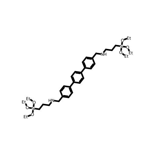 CCO[Si](CCCNCc1ccc(-c2ccc(-c3ccc(CNCCC[Si](OCC)(OCC)OCC)cc3)cc2)cc1)(OCC)OCC